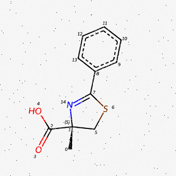 C[C@]1(C(=O)O)CSC(c2ccccc2)=N1